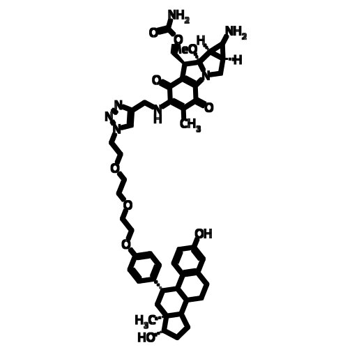 CO[C@@]12[C@H](COC(N)=O)C3=C(C(=O)C(C)=C(NCc4cn(CCOCCOCCOc5ccc([C@H]6C[C@@]7(C)C(CC[C@@H]7O)C7CCc8cc(O)ccc8C76)cc5)nn4)C3=O)N1C[C@@H]1C(N)[C@@H]12